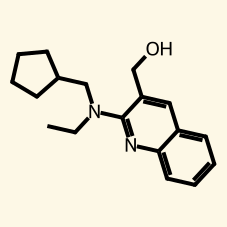 CCN(CC1CCCC1)c1nc2ccccc2cc1CO